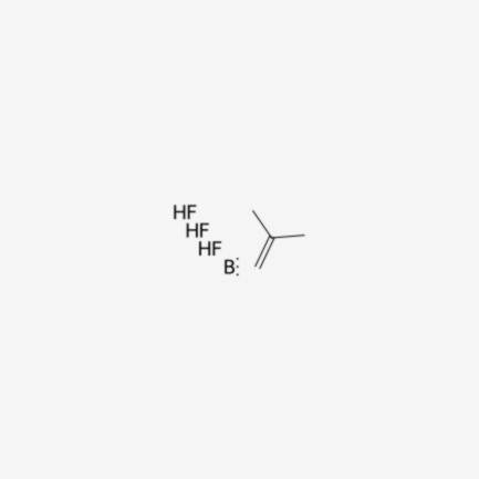 C=C(C)C.F.F.F.[B]